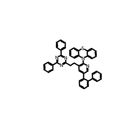 c1ccc(-c2nc(CCc3cc(-c4ccccc4-c4ccccc4)cnc3N3c4ccccc4Sc4ccccc43)nc(-c3ccccc3)n2)cc1